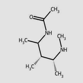 CN[C@H](C)[C@H](C)C(C)NC(C)=O